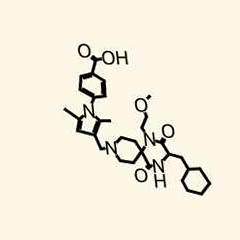 COCCN1C(=O)C(CC2CCCCC2)NC(=O)C12CCN(Cc1cc(C)n(-c3ccc(C(=O)O)cc3)c1C)CC2